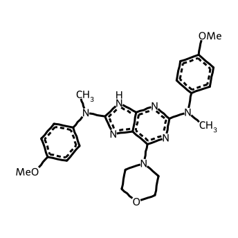 COc1ccc(N(C)c2nc(N3CCOCC3)c3nc(N(C)c4ccc(OC)cc4)[nH]c3n2)cc1